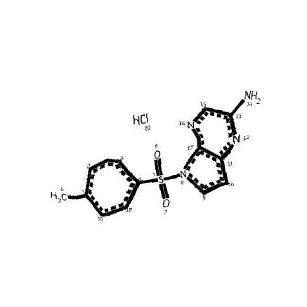 Cc1ccc(S(=O)(=O)n2ccc3nc(N)cnc32)cc1.Cl